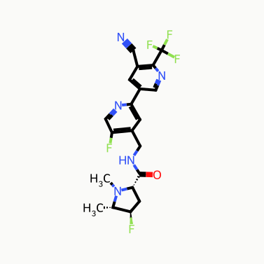 C[C@H]1[C@H](F)C[C@@H](C(=O)NCc2cc(-c3cnc(C(F)(F)F)c(C#N)c3)ncc2F)N1C